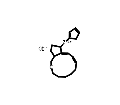 C1=CCCCCCCCC2CC[CH]([Zr+2][C]3=CC=CC3)C2=C1.[Cl-].[Cl-]